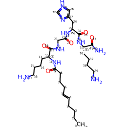 CCCCC=CCCCC(=O)N[C@@H](CCCCN)C(=O)NCC(=O)N[C@@H](Cc1c[nH]cn1)C(=O)N[C@@H](CCCCN)C(N)=O